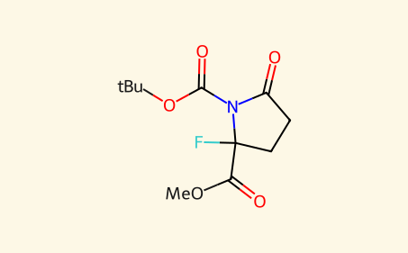 COC(=O)C1(F)CCC(=O)N1C(=O)OC(C)(C)C